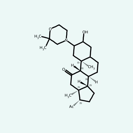 CC(=O)[C@H]1CC[C@H]2[C@@H]3CCC4CC(O)C(N5CCOC(C)(C)C5)C[C@]4(C)[C@H]3C(=O)C[C@]12C